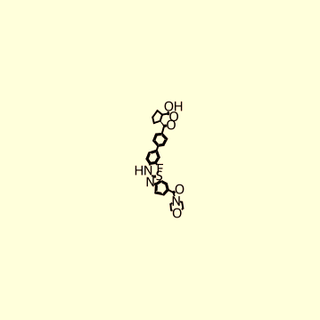 O=C(O)C1CCC[C@@H]1C(=O)c1ccc(-c2ccc(Nc3nc4ccc(C(=O)N5CCOCC5)cc4s3)c(F)c2)cc1